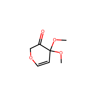 COC1(OC)C=COCC1=O